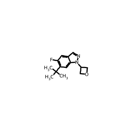 CC(C)(C)c1cc2c(cnn2C2COC2)cc1F